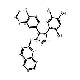 CCc1cc(-c2nnn(Cc3ccc4ccccc4n3)c2-c2ccc3c(c2)OCCO3)c(O)cc1O